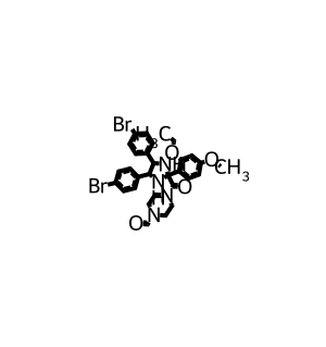 CCOc1cc(OC)ccc1C1(C(=O)N2CCN(C=O)CC2)NC(c2ccc(Br)cc2)C(c2ccc(Br)cc2)N1